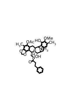 COc1c(C)cc2c(c1O)C1C3Cc4c(OC(C)=O)c(C)c5c(c4[C@H](CNC(=O)CCc4ccccc4)N3[C@@H](O)C(C2)N1C)OCO5